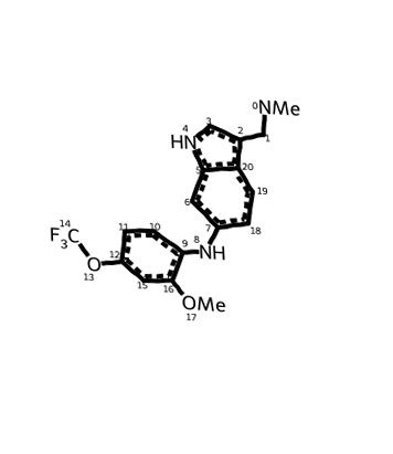 CNCc1c[nH]c2cc(Nc3ccc(OC(F)(F)F)cc3OC)ccc12